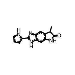 CC1C(=O)Nc2cc3[nH]c(-c4ccc[nH]4)nc3cc21